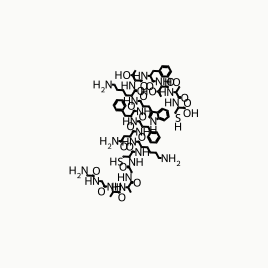 CC(NC(=O)CNC(=O)CN)C(=O)NC(C)C(=O)NCC(=O)NC(CS)C(=O)NC(CCCCN)C(=O)NC(CC(N)=O)C(=O)NC(Cc1ccccc1)C(=O)NC(Cc1ccccc1)C(=O)NC(Cc1c[nH]c2ccccc12)C(=O)NC(CCCCN)C(=O)NC(C(=O)NC(Cc1ccccc1)C(=O)NC(C(=O)NC(CO)C(=O)NC(CS)C(=O)O)C(C)O)C(C)O